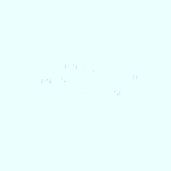 CC1CC(=O)NN=C1c1ccc(C(=O)[C@H](C)N)cc1N